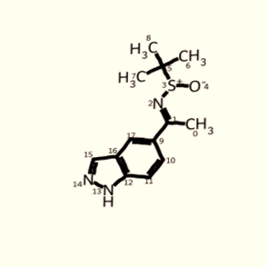 CC(=N[S+]([O-])C(C)(C)C)c1ccc2[nH]ncc2c1